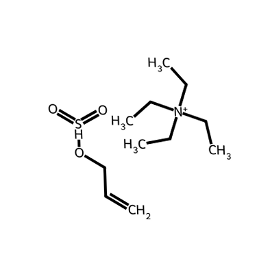 C=CCO[SH](=O)=O.CC[N+](CC)(CC)CC